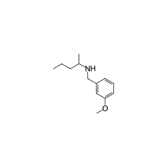 CCCC(C)NCc1cccc(OC)c1